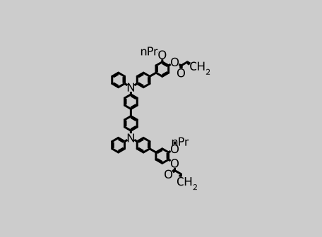 C=CC(=O)Oc1ccc(-c2ccc(N(c3ccccc3)c3ccc(-c4ccc(N(c5ccccc5)c5ccc(-c6ccc(OC(=O)C=C)c(OCCC)c6)cc5)cc4)cc3)cc2)cc1OCCC